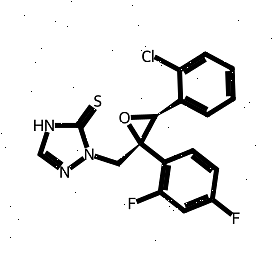 Fc1ccc([C@]2(Cn3nc[nH]c3=S)O[C@H]2c2ccccc2Cl)c(F)c1